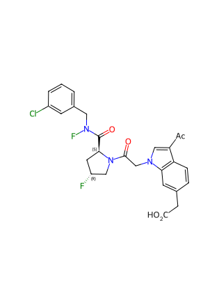 CC(=O)c1cn(CC(=O)N2C[C@H](F)C[C@H]2C(=O)N(F)Cc2cccc(Cl)c2)c2cc(CC(=O)O)ccc12